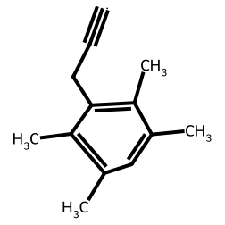 [C]#CCc1c(C)c(C)cc(C)c1C